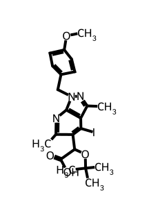 COc1ccc(Cn2nc(C)c3c(I)c(C(OC(C)(C)C)C(=O)O)c(C)nc32)cc1